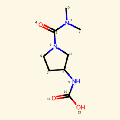 CN(C)C(=O)N1CCC(NC(=O)O)C1